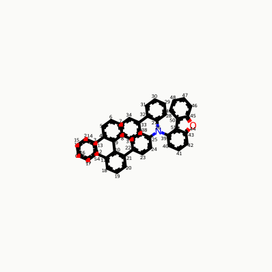 c1ccc(-c2ccccc2-c2c(-c3ccccc3)cccc2-c2ccc(N(c3ccccc3-c3ccccc3)c3cccc4oc5ccccc5c34)cc2)cc1